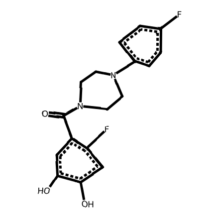 O=C(c1cc(O)c(O)cc1F)N1CCN(c2ccc(F)cc2)CC1